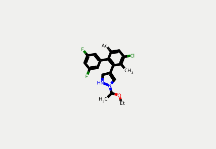 CCOC(C)N1C=C(c2c(C)c(Cl)cc(C(C)=O)c2-c2cc(F)cc(F)c2)CN1